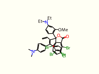 C=CC(=C(c1ccc(Cl)cc1)c1ccc(N(C)C)cc1)C1(c2ccc(N(CC)CC)cc2OC)OC(=O)c2c(Br)c(Br)c(Br)c(Br)c21